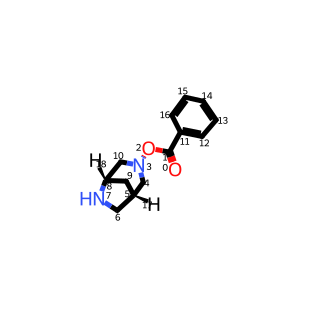 O=C(ON1C[C@@H]2CN[C@@H](C2)C1)c1ccccc1